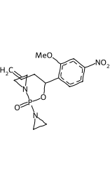 C=CCC(OP(=O)(N1CC1)N1CC1)c1ccc([N+](=O)[O-])cc1OC